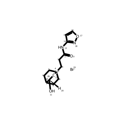 O=C(CC[N+]12CCC(CC1)[C@@H](O)C2)Nc1ccon1.[Br-]